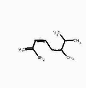 C=C(N)/C=C\CC(C)C(C)C